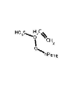 C=C.CCCCCOOS(=O)(=O)O